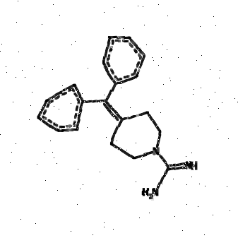 N=C(N)N1CCC(=C(c2ccccc2)c2ccccc2)CC1